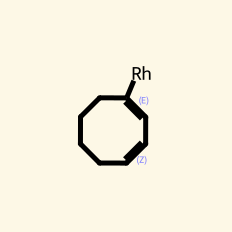 [Rh]/[C]1=C/C=C\CCCC1